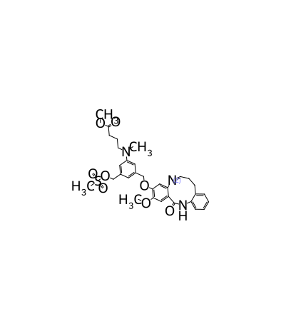 COC(=O)CCCN(C)c1cc(COc2cc3c(cc2OC)C(=O)Nc2ccccc2CC/C=N\3)cc(COS(C)(=O)=O)c1